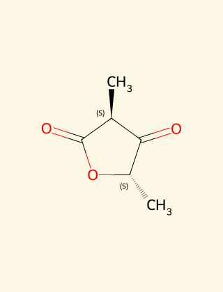 C[C@@H]1C(=O)O[C@@H](C)C1=O